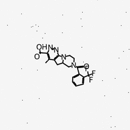 Cc1c(C(=O)O)nnc2c1CC1CN(C(=O)c3ccccc3C(F)(F)F)CCN21